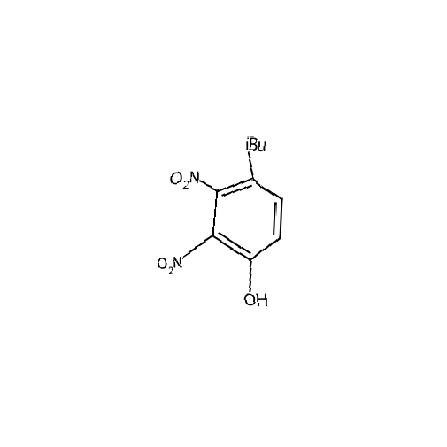 CCC(C)c1ccc(O)c([N+](=O)[O-])c1[N+](=O)[O-]